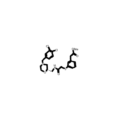 COC(=O)Cc1cccc(SCC(=O)NC[C@H]2CN(Cc3ccc(Cl)c(Cl)c3)CCO2)c1